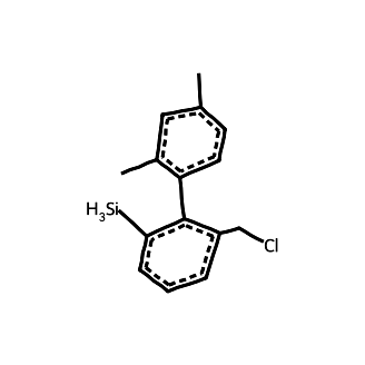 Cc1ccc(-c2c([SiH3])cccc2CCl)c(C)c1